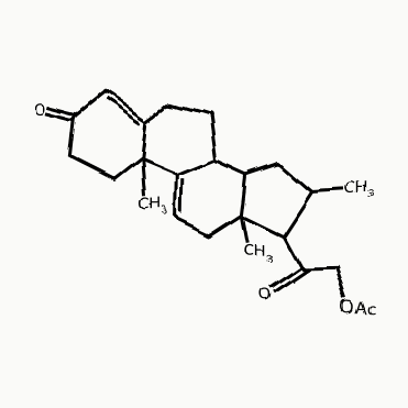 CC(=O)OCC(=O)C1C(C)CC2C3CCC4=CC(=O)CCC4(C)C3=CCC21C